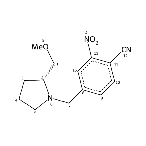 COC[C@H]1CCCN1Cc1ccc(C#N)c([N+](=O)[O-])c1